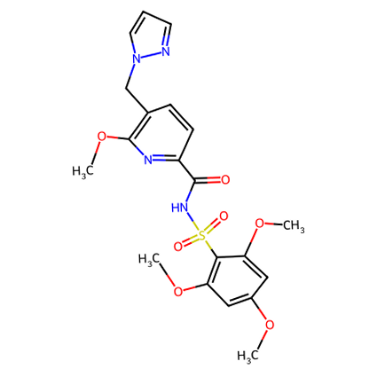 COc1cc(OC)c(S(=O)(=O)NC(=O)c2ccc(Cn3cccn3)c(OC)n2)c(OC)c1